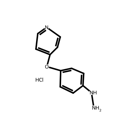 Cl.NNc1ccc(Oc2ccncc2)cc1